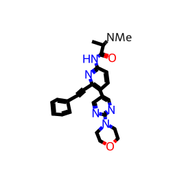 CNC(C)C(=O)Nc1ccc(-c2cnc(N3CCOCC3)nc2)c(C#Cc2ccccc2)n1